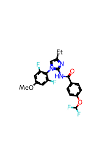 CCc1cn(-c2c(F)cc(OC)cc2F)c(NC(=O)c2ccc(OC(F)F)cc2)n1